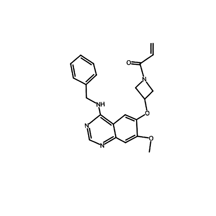 C=CC(=O)N1CC(Oc2cc3c(NCc4ccccc4)ncnc3cc2OC)C1